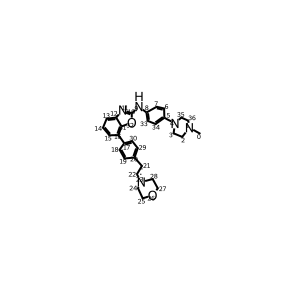 CN1CCN(c2ccc(Nc3nc4cccc(-c5ccc([CH][CH]N6CCOCC6)cc5)c4o3)cc2)CC1